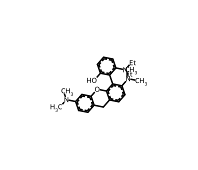 CCN(CC)c1cccc(O)c1-c1c(N(C)C)ccc2c1Oc1cc(N(C)C)ccc1C2